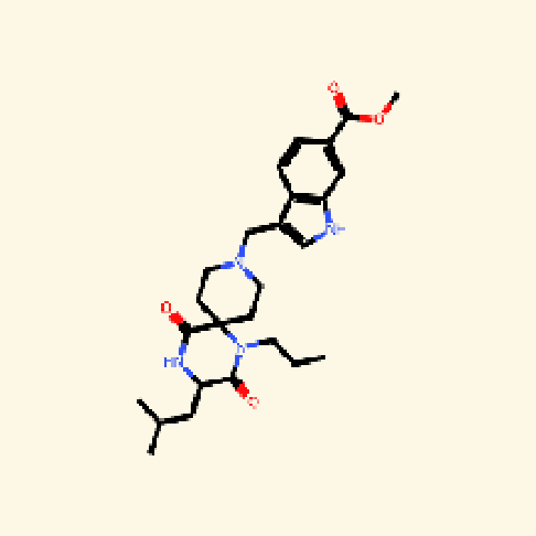 CCCN1C(=O)C(CC(C)C)NC(=O)C12CCN(Cc1c[nH]c3cc(C(=O)OC)ccc13)CC2